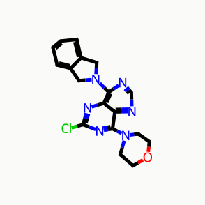 Clc1nc(N2CCOCC2)c2ncnc(N3Cc4ccccc4C3)c2n1